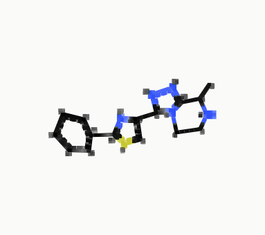 CC1NCCn2c(-c3csc(-c4ccccc4)n3)nnc21